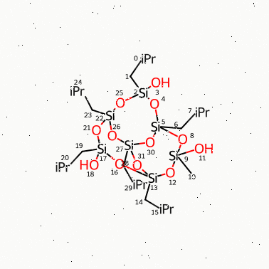 CC(C)C[Si]1(O)O[Si]2(CC(C)C)O[Si](C)(O)O[Si]3(CC(C)C)O[Si](O)(CC(C)C)O[Si](CC(C)C)(O1)O[Si](CC(C)C)(O2)O3